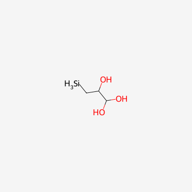 OC(O)C(O)C[SiH3]